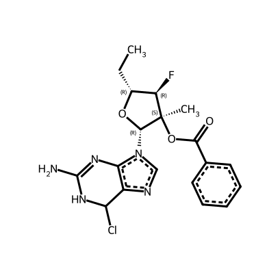 CC[C@H]1O[C@@H](n2cnc3c2N=C(N)NC3Cl)[C@](C)(OC(=O)c2ccccc2)[C@@H]1F